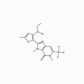 CC[S+]([O-])c1cc(C)sc1-c1nc2cc(C(F)(F)F)n(C)c(=O)c2n1C